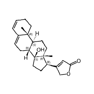 C[C@]12CCC=CC1=CC[C@@H]1[C@@H]2CC[C@]2(C)[C@@H](C3=CC(=O)OC3)CC[C@]12O